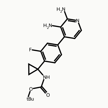 CC(C)(C)OC(=O)NC1(c2ccc(-c3ccnc(N)c3N)cc2F)CC1